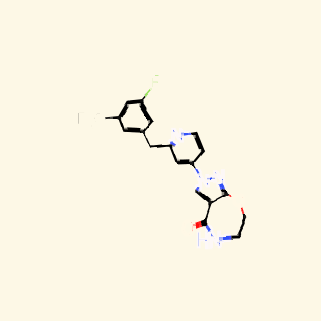 O=C1NCCOc2nn(-c3ccnc(Cc4cc(F)cc(C(F)(F)F)c4)c3)cc21